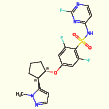 Cn1nccc1[C@H]1CCC[C@@H]1Oc1cc(F)c(S(=O)(=O)Nc2ccnc(F)n2)c(F)c1